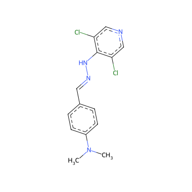 CN(C)c1ccc(C=NNc2c(Cl)cncc2Cl)cc1